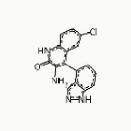 Nc1c(-c2cccc3[nH]ncc23)c2cc(Cl)ccc2[nH]c1=O